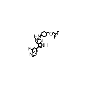 Fc1cc(-c2c[nH]c3nc(NC4CCC(COCC(F)F)CC4)ncc23)cn2ccnc12